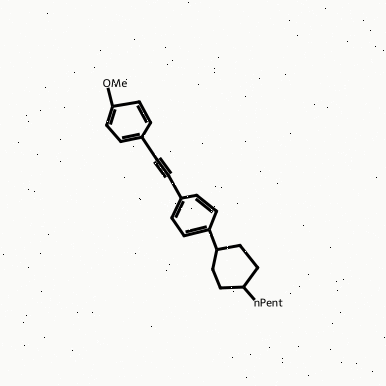 CCCCCC1CCC(c2ccc(C#Cc3ccc(OC)cc3)cc2)CC1